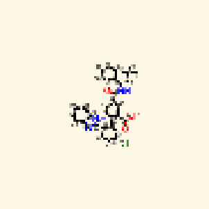 CC(C)(C)CC(NC(=O)c1ccc(-c2cc(Cl)ccc2-c2nc3ccccc3[nH]2)c(C(=O)O)c1)c1ccccc1